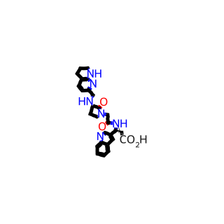 O=C(O)C[C@H](NC(=O)CN1CCC(NCc2ccc3c(n2)NCCC3)C1=O)c1cnc2ccccc2c1